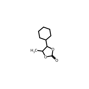 CC1OC(=O)OC1C1CCCCC1